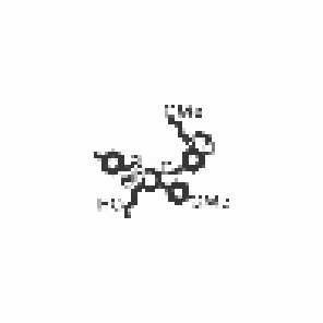 COCCCN1CCOc2ccc(CO[C@H]3CN(S(=O)(=O)c4ccc(C)cc4)C(CCC(C)O)CC3c3ccc(OC)cc3)cc21